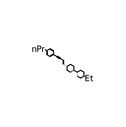 CCCc1ccc(C#CC=C[C@H]2CC[C@H]([C@H]3CC[C@H](CC)CC3)CC2)cc1